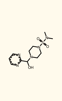 CN(C)S(=O)(=O)N1CCN(C(O)c2ncccn2)CC1